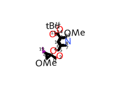 COC(=O)C1(OCc2cnc(OC)c(C(=O)OC(C)(C)C)c2)CC1I